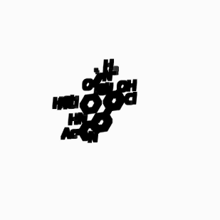 CC(=O)c1cnc2ccc(-c3cc(Cl)c(O)c(Cl)c3)cc2c1N[C@H]1CC[C@H](NC(=O)[C@H](C)N)CC1.Cl.Cl